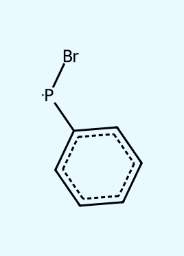 Br[P]c1ccccc1